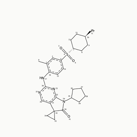 Cc1cc(S(=O)(=O)[C@H]2CC[C@H](C(C)C)CC2)ccc1Nc1ncc2c(n1)N(C1CCCC1)C(=O)C21CC1